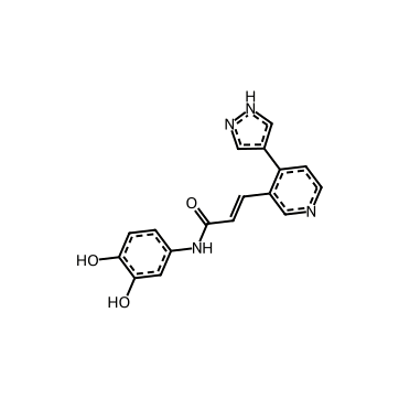 O=C(/C=C/c1cnccc1-c1cn[nH]c1)Nc1ccc(O)c(O)c1